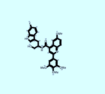 COc1ccc2nc(-c3cc(OC)c(OC)c(OC)c3)cc(C(=O)NC(CO)Cc3c[nH]c4cc(F)ccc34)c2c1